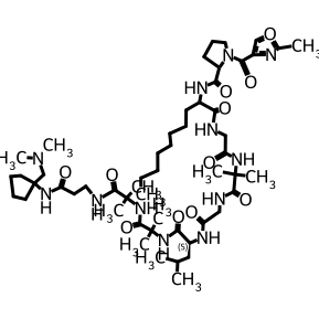 CCCCCCCCC(NC(=O)C1CCCN1C(=O)c1coc(C)n1)C(=O)NCC(=O)NC(C)(C)C(=O)NCC(=O)N[C@@H](CC(C)C)C(=O)NC(C)(C)C(=O)NC(C)(C)C(=O)NCCC(=O)NC1(CN(C)C)CCCC1